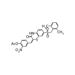 CC(=O)Oc1ccc(/C=C2/Sc3cc(S(=O)(=O)Cc4c(C)cccc4C)ccc3NC2=O)cc1[N+](=O)[O-]